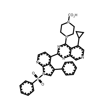 O=C(O)N1CCN(c2nc(-c3ccnc4c3c(-c3ccccc3)cn4S(=O)(=O)c3ccccc3)nc3cncc(C4CC4)c23)CC1